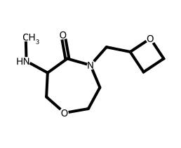 CNC1COCCN(CC2CCO2)C1=O